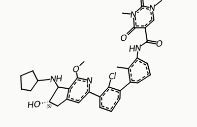 COc1nc(-c2cccc(-c3cccc(NC(=O)c4cn(C)c(=O)n(C)c4=O)c3C)c2Cl)cc2c1C(NC1CCCC1)[C@@H](O)C2